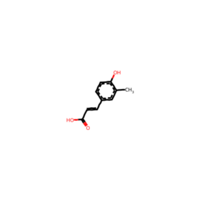 Cc1cc(C=CC(=O)O)ccc1O